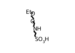 CCOCCOCCNCCCS(=O)(=O)O